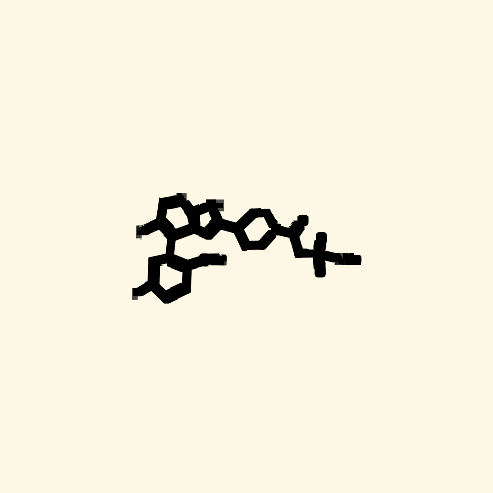 CNS(=O)(=O)CC(=O)N1CCC(c2cc3c(-c4cc(F)ccc4OC)c(F)cnc3[nH]2)CC1